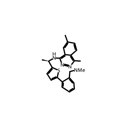 CNCc1ccccc1-c1ccc([C@@H](C)Nc2nnc(C)c3ccc(C)cc23)s1